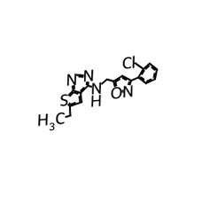 CCc1cc2c(NCc3cc(-c4ccccc4Cl)no3)ncnc2s1